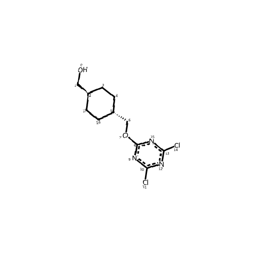 OC[C@H]1CC[C@H](COc2nc(Cl)nc(Cl)n2)CC1